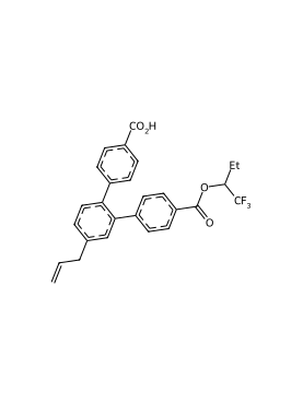 C=CCc1ccc(-c2ccc(C(=O)O)cc2)c(-c2ccc(C(=O)OC(CC)C(F)(F)F)cc2)c1